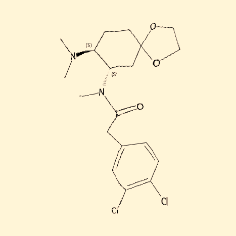 CN(C)[C@H]1CCC2(C[C@@H]1N(C)C(=O)Cc1ccc(Cl)c(Cl)c1)OCCO2